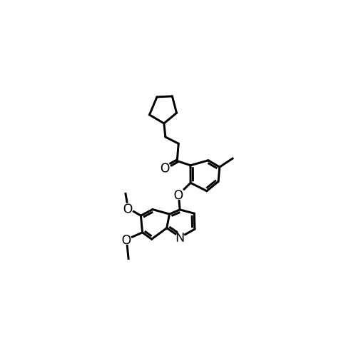 COc1cc2nccc(Oc3ccc(C)cc3C(=O)CCC3CCCC3)c2cc1OC